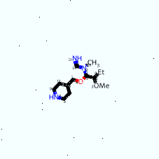 CCC(OC)C(OCC1CCNCC1)N(C)C=N